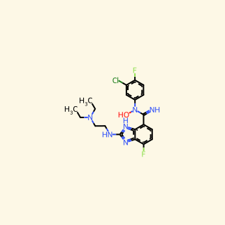 CCN(CC)CCNc1nc2c(F)ccc(C(=N)N(O)c3ccc(F)c(Cl)c3)c2[nH]1